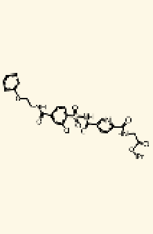 CC(C)OC(=O)CNC(=O)c1ccc(C(=O)NS(=O)(=O)c2ccc(C(=O)NCCOc3ccccc3)cc2Cl)cn1